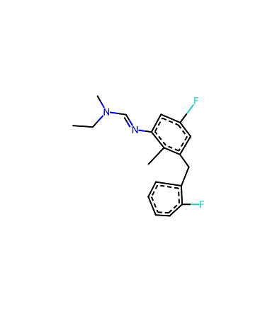 CCN(C)C=Nc1cc(F)cc(Cc2ccccc2F)c1C